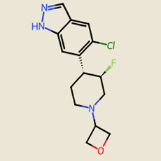 F[C@H]1CN(C2COC2)CC[C@@H]1c1cc2[nH]ncc2cc1Cl